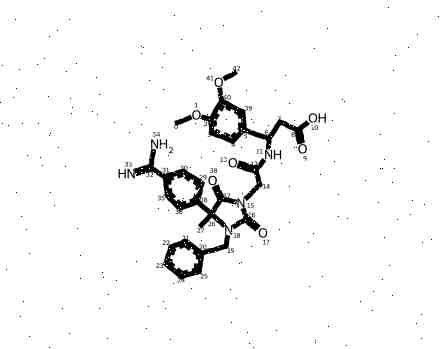 COc1ccc(C(CC(=O)O)NC(=O)CN2C(=O)N(Cc3ccccc3)C(C)(c3ccc(C(=N)N)cc3)C2=O)cc1OC